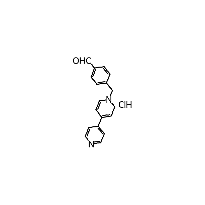 Cl.O=Cc1ccc(CN2C=CC(c3ccncc3)=CC2)cc1